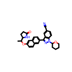 CC(Oc1ccc2cc(-c3nn(C4CCCCO4)c4ccc(C#N)cc34)ccc2c1)C1CCC(=O)N1